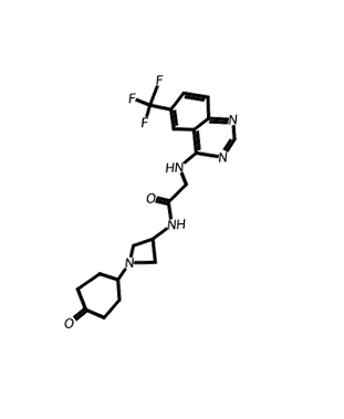 O=C1CCC(N2CC(NC(=O)CNc3ncnc4ccc(C(F)(F)F)cc34)C2)CC1